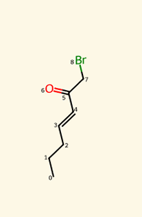 CCCC=CC(=O)CBr